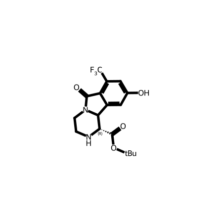 CC(C)(C)OC(=O)[C@@H]1NCCN2C(=O)c3c(cc(O)cc3C(F)(F)F)C12